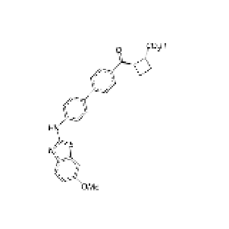 COc1ccc2nc(Nc3ccc(-c4ccc(C(=O)[C@@H]5CC[C@H]5C(=O)O)cc4)cc3)sc2c1